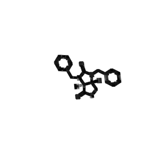 O=C1SC[C@@H]2[C@@H]1N(Cc1ccccc1)C(=O)N2Cc1ccccc1